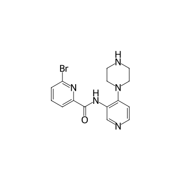 O=C(Nc1cnccc1N1CCNCC1)c1cccc(Br)n1